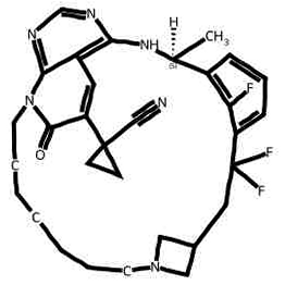 C[C@@H]1Nc2ncnc3c2cc(C2(C#N)CC2)c(=O)n3CCCCCCCN2CC(C2)CC(F)(F)c2cccc1c2F